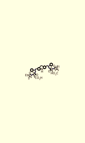 CCN1C(=O)/C(=c2\s/c(=C\C(=C/c3ccc4c(c3)CCc3cc(/C=C(\C=c5/s/c(=C6/SC(=S)N(CC)C6=O)n(CC(=O)O)c5=O)c5ccccc5)ccc3N4)c3ccccc3)c(=O)n2CC(=O)O)SC1=S